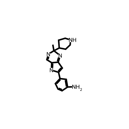 CC1(C2CCNCC2)N=CC2=NC(c3cccc(N)c3)=CC2=N1